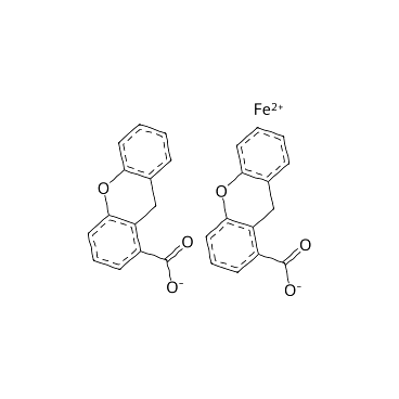 O=C([O-])c1cccc2c1Cc1ccccc1O2.O=C([O-])c1cccc2c1Cc1ccccc1O2.[Fe+2]